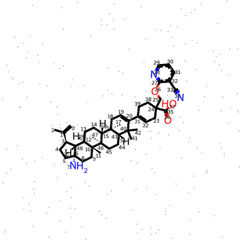 C=C(C)[C@@H]1CC[C@]2(N)CC[C@]3(C)[C@H](CC[C@@H]4[C@@]5(C)CC=C(C6=CCC(COc7ncccc7C#N)(C(=O)O)CC6)C(C)(C)[C@@H]5CC[C@]43C)[C@@H]12